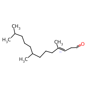 C/C(=C\C[C]=O)CCCC(C)CCCC(C)C